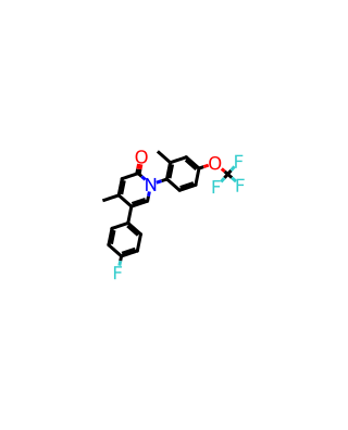 Cc1cc(=O)n(-c2ccc(OC(F)(F)F)cc2C)cc1-c1ccc(F)cc1